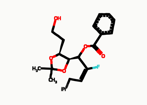 CC(C)C/C=C(/F)C(OC(=O)c1ccccc1)[C@H]1OC(C)(C)O[C@H]1CCO